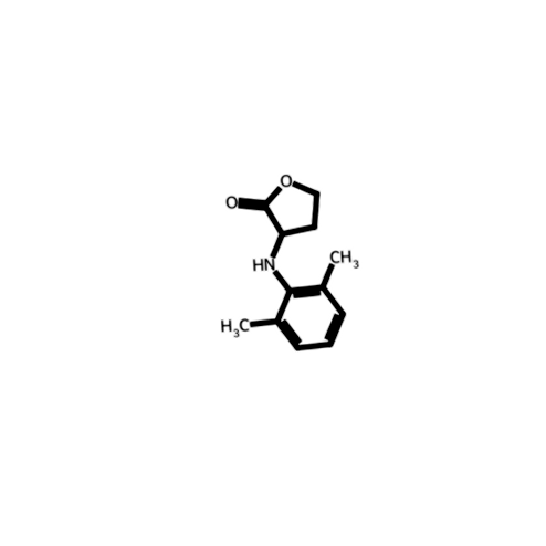 Cc1cccc(C)c1NC1CCOC1=O